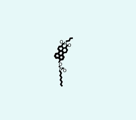 CCCCCCCCN(C=O)COCc1ccc2c3c4c(c5cccc1c25)=CC=C1C(=O)N(CCCC)C(=O)C(CC3)C14